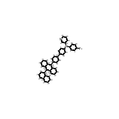 Fc1ccc(N(c2ccc(-c3ccc(-c4c5ccccc5c(-c5cccc6ccccc56)c5ccccc45)cc3)cc2)c2cccnc2)cc1